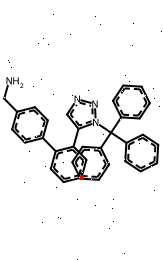 NCc1ccc(-c2ccccc2-c2cnnn2C(c2ccccc2)(c2ccccc2)c2ccccc2)cc1